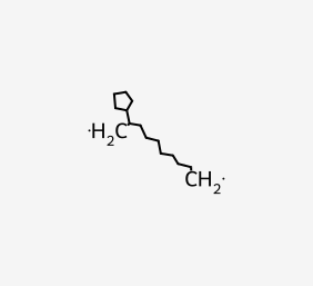 [CH2]CCCCCCCC([CH2])C1CCCC1